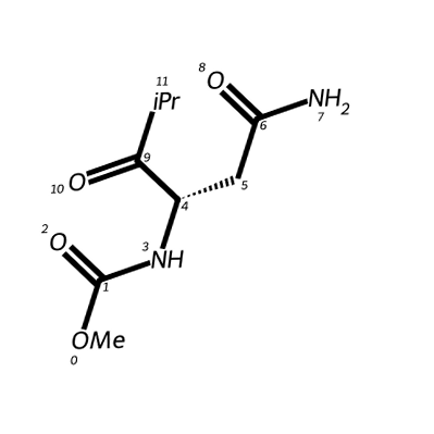 COC(=O)N[C@@H](CC(N)=O)C(=O)C(C)C